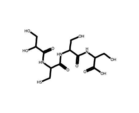 O=C(NC(CS)C(=O)NC(CO)C(=O)NC(CO)C(=O)O)C(O)CO